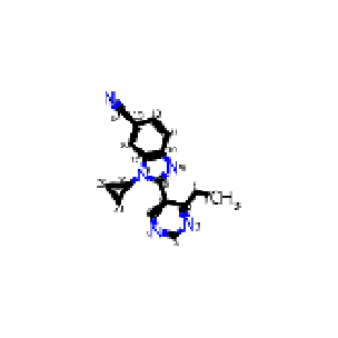 CCc1ncncc1-c1nc2ccc(C#N)cc2n1C1CC1